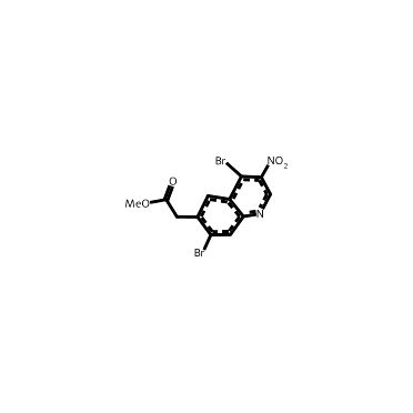 COC(=O)Cc1cc2c(Br)c([N+](=O)[O-])cnc2cc1Br